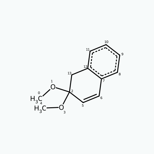 COC1(OC)C=Cc2ccccc2C1